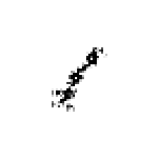 Cc1ccc(CCCCc2ccc(C3OC4OC(C(CO)OC(C)C)C(O)C4O3)cc2)cc1